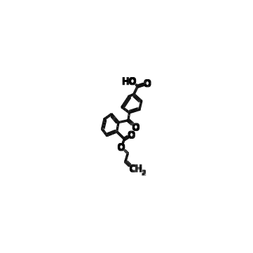 C=CCOC(=O)c1ccccc1C(=O)c1ccc(C(=O)O)cc1